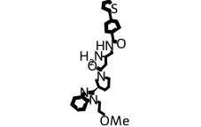 COCCCn1c([C@@H]2CCCN(C(=O)C[C@@H](N)CNC(=O)c3ccc(-c4cccs4)cc3)C2)nc2ccccc21